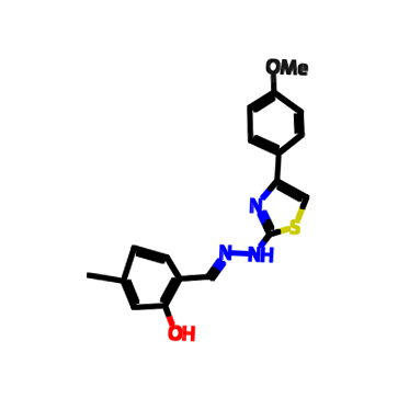 COc1ccc(-c2csc(N/N=C/c3ccc(C)cc3O)n2)cc1